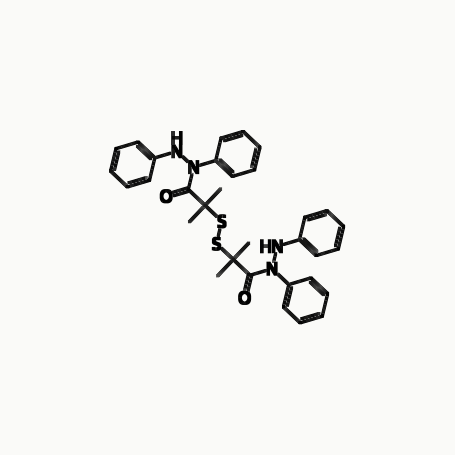 CC(C)(SSC(C)(C)C(=O)N(Nc1ccccc1)c1ccccc1)C(=O)N(Nc1ccccc1)c1ccccc1